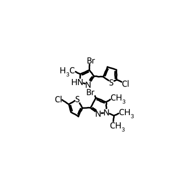 Cc1[nH]nc(-c2ccc(Cl)s2)c1Br.Cc1c(Br)c(-c2ccc(Cl)s2)nn1C(C)C